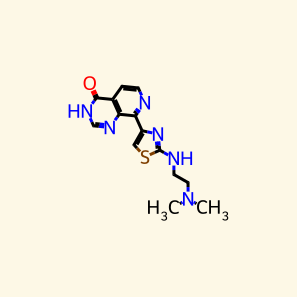 CN(C)CCNc1nc(-c2nccc3c(=O)[nH]cnc23)cs1